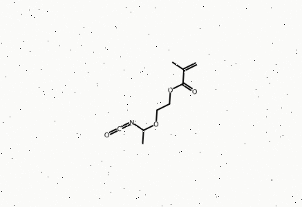 C=C(C)C(=O)OCCOC(C)N=C=O